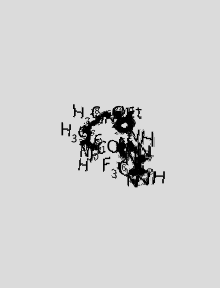 CCc1cc(Nc2nccn3c(-c4c[nH]nc4C(F)(F)F)cnc23)ccc1C(=O)NCC(C)CCN(C)CC1CNC1C(F)(F)C(=O)O